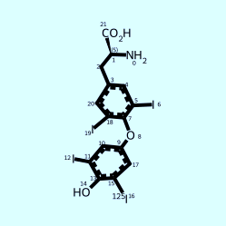 N[C@@H](Cc1cc(I)c(Oc2cc(I)c(O)c([125I])c2)c(I)c1)C(=O)O